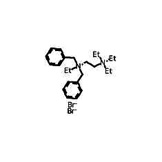 CC[N+](CC)(CC)CC[N+](CC)(Cc1ccccc1)Cc1ccccc1.[Br-].[Br-]